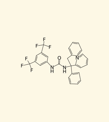 O=C(Nc1cc(C(F)(F)F)cc(C(F)(F)F)c1)NC(Cc1ccccc1)(c1ccccc1)c1ccccn1